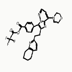 O=C(OC(=O)C(F)(F)F)c1ccc(-c2c(CCc3ccc4c(n3)CCCC4)nc3c(N4CCOCC4)ccnn23)cc1